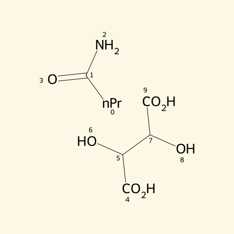 CCCC(N)=O.O=C(O)C(O)C(O)C(=O)O